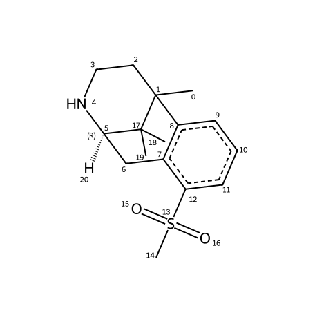 CC12CCN[C@H](Cc3c1cccc3S(C)(=O)=O)C2(C)C